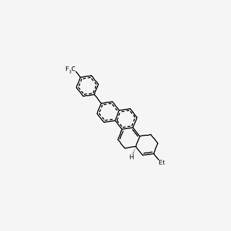 CCC1=C[C@H]2CC=c3c(ccc4cc(-c5ccc(C(F)(F)F)cc5)ccc34)=C2CC1